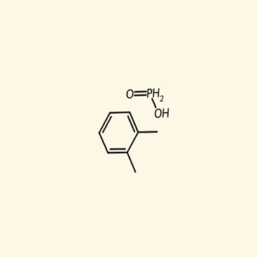 Cc1ccccc1C.O=[PH2]O